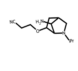 CC(C)N1CC2CC(OCCC#N)C1C2N